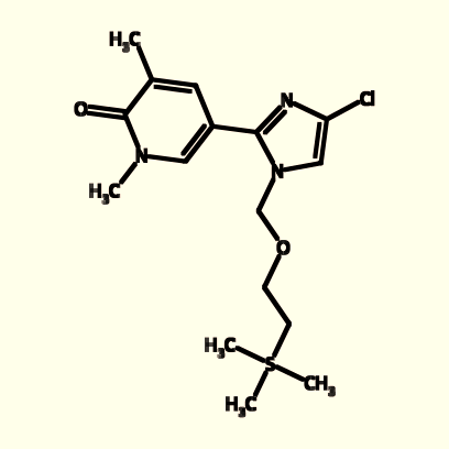 Cc1cc(-c2nc(Cl)cn2COCCS(C)(C)C)cn(C)c1=O